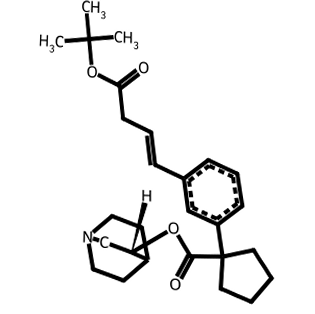 CC(C)(C)OC(=O)C/C=C/c1cccc(C2(C(=O)O[C@H]3CN4CCC3CC4)CCCC2)c1